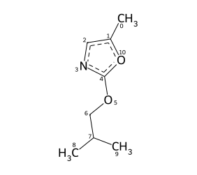 Cc1cnc(OCC(C)C)o1